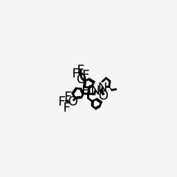 CC[C@@H]1CCCN1C(=O)NCC(Cc1ccccc1)(c1cccc(OC(F)(F)F)c1)c1cccc(OC(F)(F)F)c1